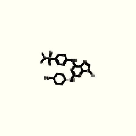 CCn1cnc2c(Nc3ccc(S(=O)(=O)N(C)C)cc3)nc(N[C@H]3CC[C@H](O)CC3)nc21